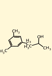 CC(C)O.Cc1cc(C)cc(C)c1